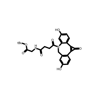 CC(C)(C)OC(=O)CNC(=O)CCC(=O)N1Cc2cc(O)ccc2-c2c(c2=O)-c2ccc(O)cc21